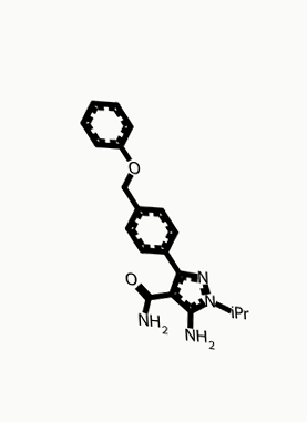 CC(C)n1nc(-c2ccc(COc3ccccc3)cc2)c(C(N)=O)c1N